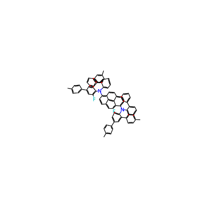 Cc1ccc(-c2cc(F)c(N(c3ccccc3-c3ccccc3)c3ccc4ccc5c(N(c6ccccc6-c6ccccc6)c6c(F)cc(-c7ccc(C)cc7)cc6-c6ccc(C)cc6)ccc6ccc3c4c65)c(-c3ccc(C)cc3)c2)cc1